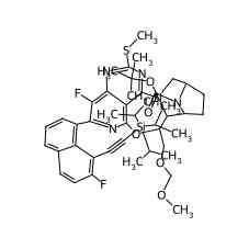 COCOCC1Oc2nc(-c3cccc4ccc(F)c(C#C[Si](C(C)C)(C(C)C)C(C)C)c34)c(F)c3nc(SC)nc(c23)N2CC3CCC(C12)N3C(=O)OC(C)(C)C